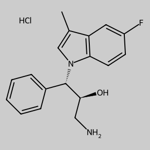 Cc1cn([C@@H](c2ccccc2)[C@@H](O)CN)c2ccc(F)cc12.Cl